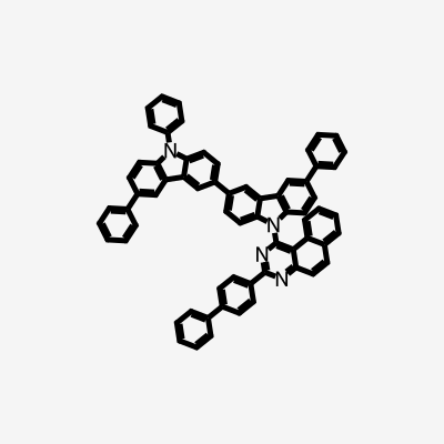 c1ccc(-c2ccc(-c3nc(-n4c5ccc(-c6ccccc6)cc5c5cc(-c6ccc7c(c6)c6cc(-c8ccccc8)ccc6n7-c6ccccc6)ccc54)c4c(ccc5ccccc54)n3)cc2)cc1